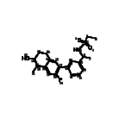 CCS(=O)(=O)NC(C)c1cncc(-c2cc3c(cc2F)N(C)C(O)CC3)c1